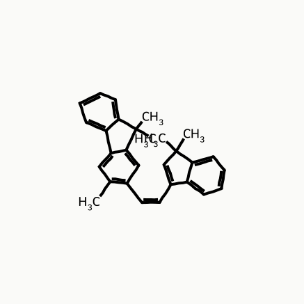 Cc1cc2c(cc1/C=C\C1=CC(C)(C)c3ccccc31)C(C)(C)c1ccccc1-2